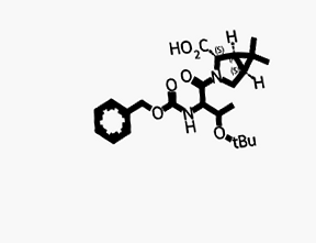 CC(OC(C)(C)C)C(NC(=O)OCc1ccccc1)C(=O)N1C[C@H]2[C@@H]([C@H]1C(=O)O)C2(C)C